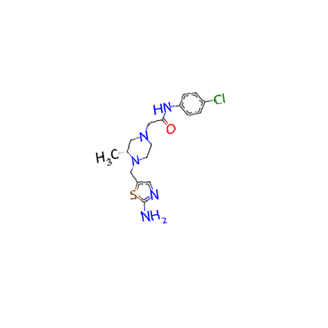 C[C@@H]1CN(CC(=O)Nc2ccc(Cl)cc2)CCN1Cc1cnc(N)s1